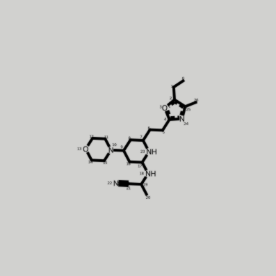 CCc1oc(CCC2CC(N3CCOCC3)CC(NC(C)C#N)N2)nc1C